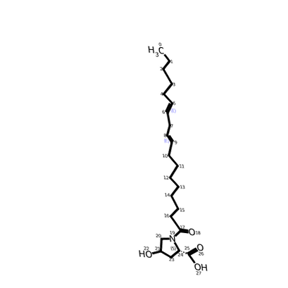 CCCCC/C=C/C/C=C/CCCCCCCC(=O)N1CC(O)C[C@H]1C(=O)O